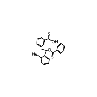 CC(OC(=S)c1ccccc1)c1ccccc1C#N.OC(=S)c1ccccc1